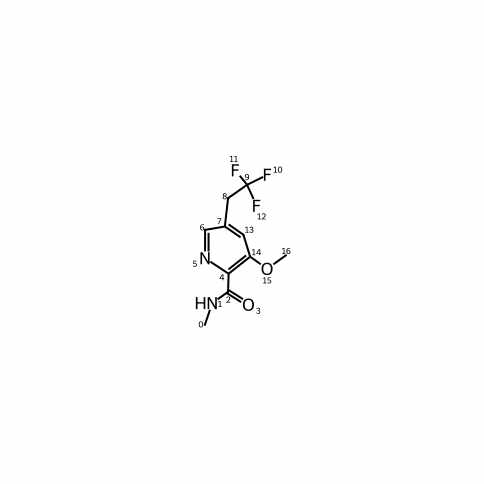 CNC(=O)c1ncc(CC(F)(F)F)cc1OC